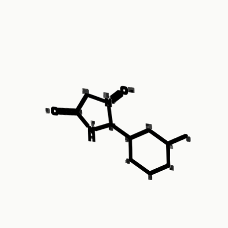 CC1CCCC([C]2NC(=O)C[N+]2=O)C1